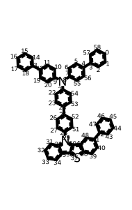 c1ccc(-c2ccc(N(c3ccc(-c4ccccc4)cc3)c3ccc(-c4ccc(-n5c6ccccc6c6sc7ccc(-c8ccccc8)cc7c65)cc4)cc3)cc2)cc1